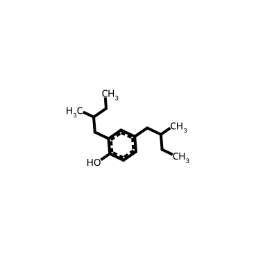 CCC(C)Cc1ccc(O)c(CC(C)CC)c1